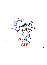 Cc1nc(N(C(=O)O)C(C)(C)C)nc(-c2c[nH]c3nccc(N4CCN(C)CC4)c23)c1C(C)(C)C